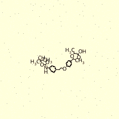 CC(OC(C)c1ccc(OCCc2ccc(NC(=O)OC(C)(C)C)cc2)cc1)C(=O)O